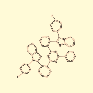 Fc1ccc(-n2c(-c3ccccc3-c3nc(-c4ccccc4)nc(-c4ccccc4-c4nc5ccccc5n4-c4ccc(F)cc4)n3)nc3ccccc32)cc1